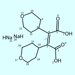 O=C(O)/C(=C(\C(=O)O)C1CCOCC1)C1CCOCC1.[NaH].[NaH]